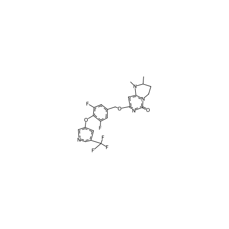 CC1CCn2c(cc(OCc3cc(F)c(Oc4cncc(C(F)(F)F)c4)c(F)c3)nc2=O)N1C